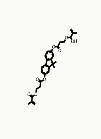 C=C(C)C(=O)OCCC(=O)Oc1ccc2c(c1)C(C)(C)c1cc(OC(=O)CCOC(O)C(=C)C)ccc1-2